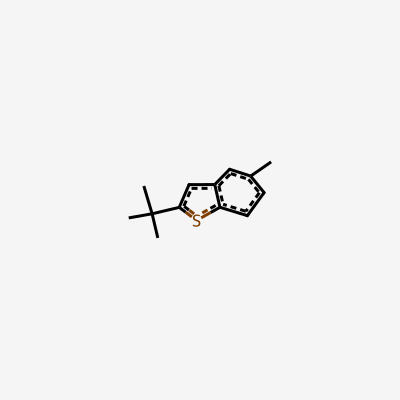 Cc1ccc2sc(C(C)(C)C)cc2c1